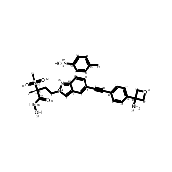 C[C@@](CCn1cc2cc(C#Cc3ccc(C4(N)COC4)cc3)ccc2n1)(C(=O)NO)S(C)(=O)=O.Cc1ccc(S(=O)(=O)O)cc1